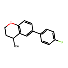 CC(C)(C)C1CCOc2ccc(-c3ccc(F)cc3)cc21